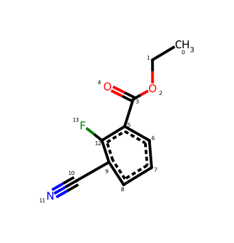 CCOC(=O)c1cccc(C#N)c1F